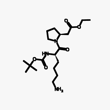 CCOC(=O)C[C@@H]1CCCN1C(=O)[C@H](CCCCN)NC(=O)OC(C)(C)C